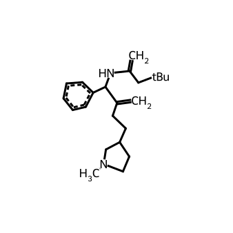 C=C(CC(C)(C)C)NC(C(=C)CCC1CCN(C)C1)c1ccccc1